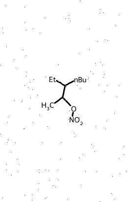 CCCCC(CC)C(C)O[N+](=O)[O-]